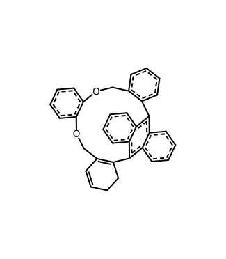 C1=CC2=C(CC1)c1c3ccccc3c(c3ccccc13)-c1ccccc1COc1ccccc1OC2